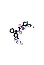 Cc1cc(C2NC(C(=O)Nc3cc4cn(C)nc4cc3C3CCCCC3)=CO2)ccn1